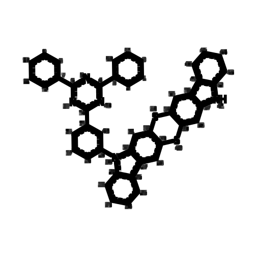 c1ccc(-c2nc(-c3ccccc3)nc(-c3cccc(-n4c5ccccc5c5cc6c(cc54)Sc4cc5c(cc4S6)[nH]c4ccccc45)c3)n2)cc1